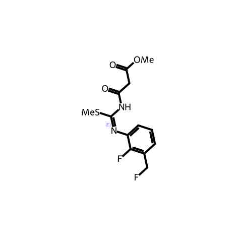 COC(=O)CC(=O)N/C(=N\c1cccc(CF)c1F)SC